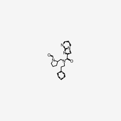 O=CN1CCCC1CN(CCc1ccccc1)C(=O)c1cn2cccnc2n1